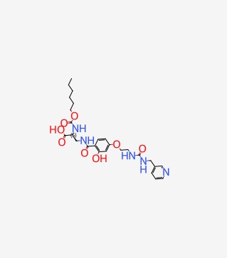 CCCCCCOC(=O)N[C@@H](CNC(=O)c1ccc(OCCNC(=O)NCc2cccnc2)cc1O)C(=O)O